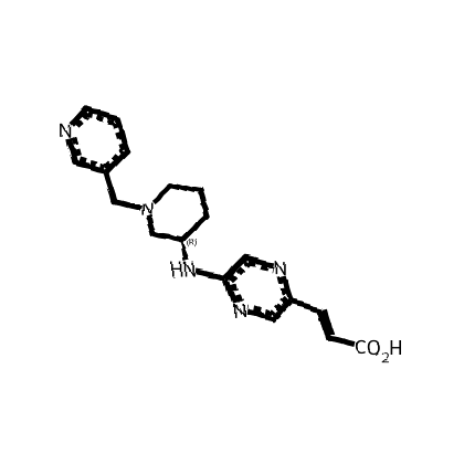 O=C(O)C=Cc1cnc(N[C@@H]2CCCN(Cc3cccnc3)C2)cn1